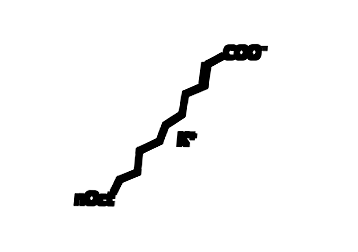 CCCCCCCCCCCCCCCC=CC(=O)[O-].[K+]